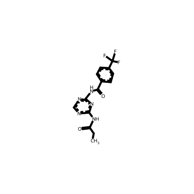 CCC(=O)Nc1ncnc(NC(=O)c2ccc(C(F)(F)F)cc2)n1